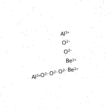 [Al+3].[Al+3].[Be+2].[Be+2].[O-2].[O-2].[O-2].[O-2].[O-2]